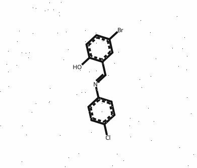 Oc1ccc(Br)cc1/C=N/c1ccc(Cl)cc1